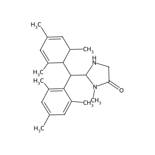 CC1=CC(C)C(C(c2c(C)cc(C)cc2C)C2NCC(=O)N2C)C(C)=C1